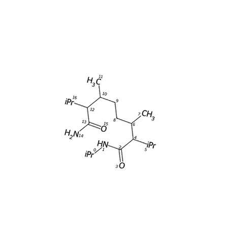 CC(C)NC(=O)C(C(C)C)C(C)CCC(C)C(C(N)=O)C(C)C